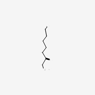 CCCCCCC(=O)CCCCCS